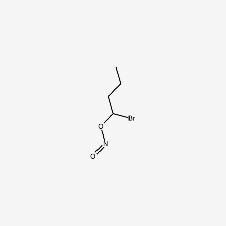 CCCC(Br)ON=O